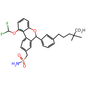 CC(C)(CCCc1cccc(C2Oc3cccc(OC(F)F)c3-c3ccc(CS(N)(=O)=O)cc32)c1)C(=O)O